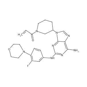 C=CC(=O)N1CCCC(n2cnc3c(N)nc(Nc4ccc(N5CCOCC5)c(F)c4)nc32)C1